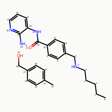 CCCCCNCc1ccc(C(=O)Nc2cccnc2N)cc1.Cc1ccc(CO)cc1